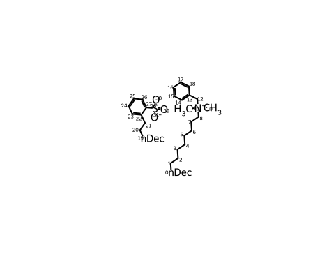 CCCCCCCCCCCCCCCCCC[N+](C)(C)Cc1ccccc1.CCCCCCCCCCCCc1ccccc1S(=O)(=O)[O-]